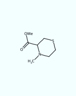 COC(=O)C1CSCCN1C